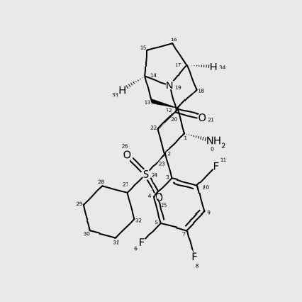 N[C@H](Cc1cc(F)c(F)cc1F)[C@H]1C[C@H]2CC[C@@H](C1)N2C(=O)CCS(=O)(=O)C1CCCCC1